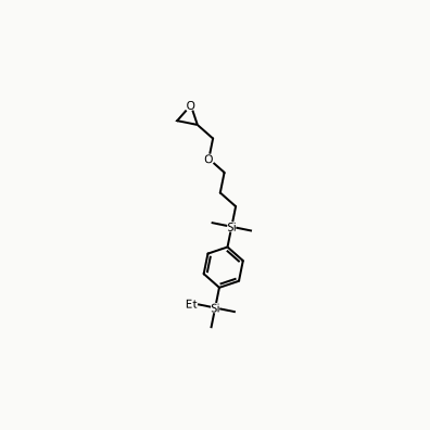 CC[Si](C)(C)c1ccc([Si](C)(C)CCCOCC2CO2)cc1